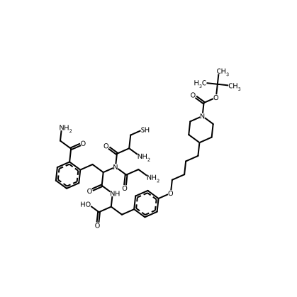 CC(C)(C)OC(=O)N1CCC(CCCCOc2ccc(CC(NC(=O)C(Cc3ccccc3C(=O)CN)N(C(=O)CN)C(=O)C(N)CS)C(=O)O)cc2)CC1